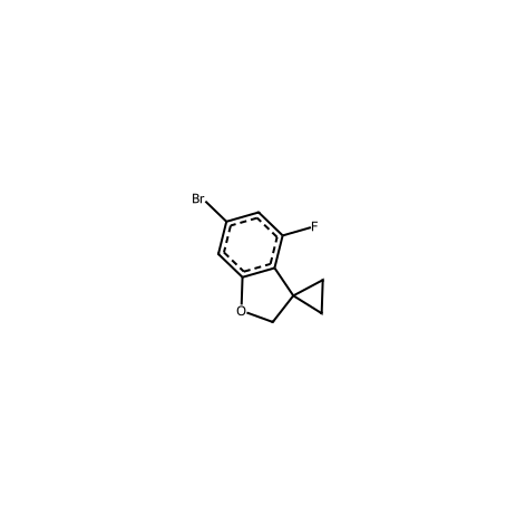 Fc1cc(Br)cc2c1C1(CC1)CO2